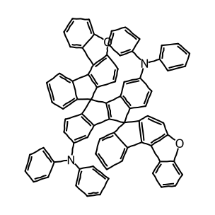 c1ccc(N(c2ccccc2)c2ccc3c(c2)C2=C(c4cc(N(c5ccccc5)c5ccccc5)ccc4C24c2ccccc2-c2c4ccc4oc5ccccc5c24)C32c3ccccc3-c3c2ccc2oc4ccccc4c32)cc1